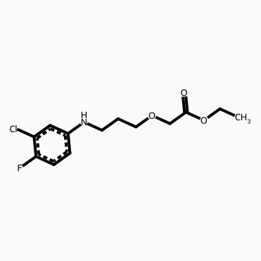 CCOC(=O)COCCCNc1ccc(F)c(Cl)c1